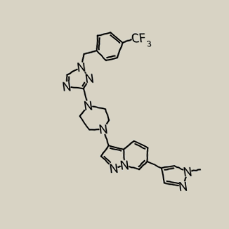 Cn1cc(-c2ccc3c(N4CCN(c5ncn(Cc6ccc(C(F)(F)F)cc6)n5)CC4)cnn3c2)cn1